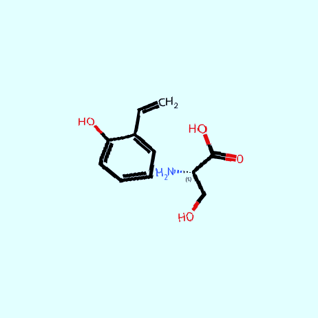 C=Cc1ccccc1O.N[C@@H](CO)C(=O)O